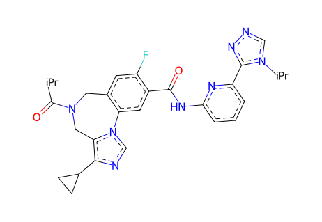 CC(C)C(=O)N1Cc2cc(F)c(C(=O)Nc3cccc(-c4nncn4C(C)C)n3)cc2-n2cnc(C3CC3)c2C1